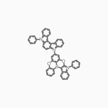 c1ccc(-n2c3c(c4ccccc42)B2c4ccccc4Oc4cc(-n5c6ccccc6c6c7c8ccccc8n(-c8ccccc8)c7ccc65)cc(c42)O3)cc1